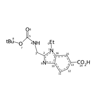 CCn1c(CNC(=O)OC(C)(C)C)nc2ccc(C(=O)O)cc21